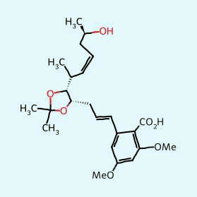 COc1cc(/C=C/C[C@@H]2OC(C)(C)O[C@@H]2C(C)/C=C\C[C@@H](C)O)c(C(=O)O)c(OC)c1